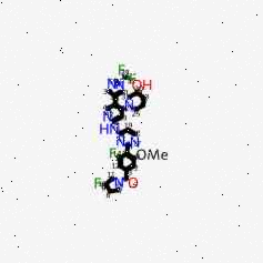 COc1cc(C(=O)N2CC[C@H](F)C2)cc(F)c1-c1nccc(Nc2cc(N3CCC[C@H](O)C3)c(-c3cnn(C(F)F)c3)cn2)n1